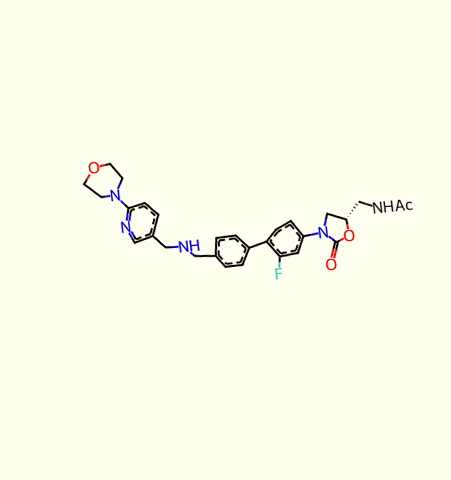 CC(=O)NC[C@H]1CN(c2ccc(-c3ccc(CNCc4ccc(N5CCOCC5)nc4)cc3)c(F)c2)C(=O)O1